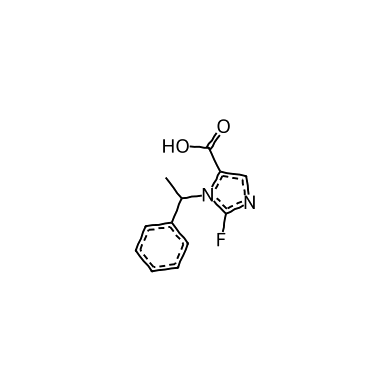 CC(c1ccccc1)n1c(C(=O)O)cnc1F